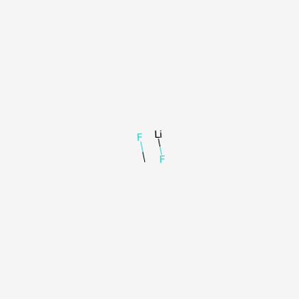 CF.[Li][F]